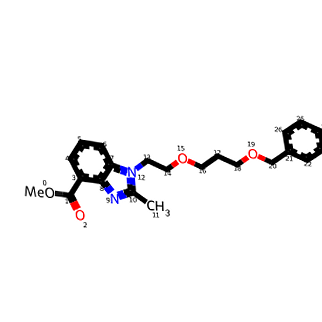 COC(=O)c1cccc2c1nc(C)n2CCOCCCOCc1ccccc1